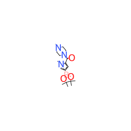 CN1CCN(C(=O)c2cc(B3OC(C)(C)C(C)(C)O3)cn2C)CC1